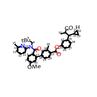 COc1ccc(C(=O)N(CC(C)(C)C)c2cccc(C)n2)c(-c2ccc(C(=O)Oc3cccc(C(C4CC4)C(C)C(=O)O)c3)c(C)c2)c1